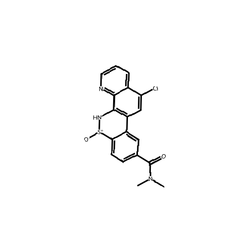 CN(C)C(=O)c1ccc2c(c1)-c1cc(Cl)c3cccnc3c1N[S+]2[O-]